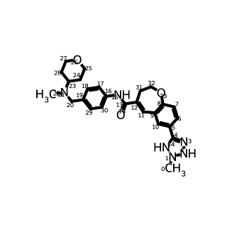 CN1NN=C(c2ccc3c(c2)C=C(C(=O)Nc2ccc(CN(C)C4CCOCC4)cc2)CCO3)N1